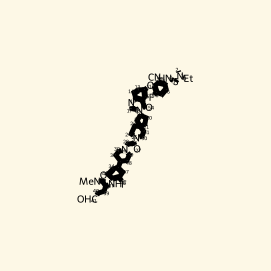 CCN(C)SNc1ccc(F)c(Oc2ccc3ncn(C4CCC5(CCN(C(=O)CN6CCC(c7ccc(NC(CCC=O)C(=O)NC)c(F)c7)CC6)CC5)C4)c(=O)c3c2)c1C#N